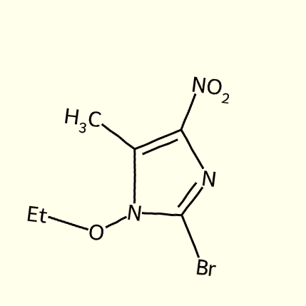 CCOn1c(Br)nc([N+](=O)[O-])c1C